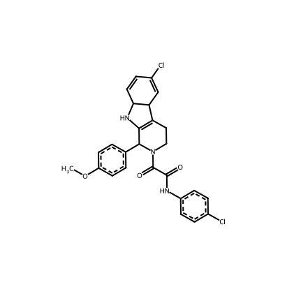 COc1ccc(C2C3=C(CCN2C(=O)C(=O)Nc2ccc(Cl)cc2)C2C=C(Cl)C=CC2N3)cc1